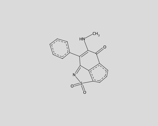 CNC1=C(c2ccccc2)C2=NS(=O)(=O)c3cccc(c32)C1=O